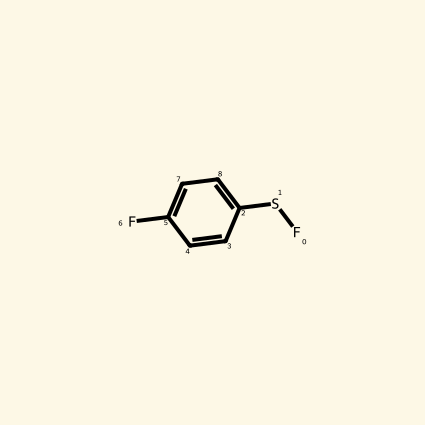 FSc1ccc(F)cc1